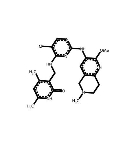 COc1nc2c(cc1Nc1ncc(Cl)c(NCc3c(C)cc(C)[nH]c3=O)n1)CN(C)CC2